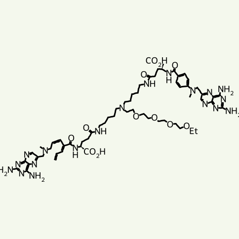 C=C/C=C(\C=C/CN(C)Cc1cnc2nc(N)nc(N)c2n1)C(=O)N[C@@H](CCC(=O)NCCCCCN(CCCCCNC(=O)CC[C@H](NC(=O)c1ccc(N(C)Cc2cnc3nc(N)nc(N)c3n2)cc1)C(=O)O)CCOCCOCCOCCOCC)C(=O)O